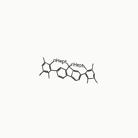 CCCCCCCC1(CCCCCCC)c2cc(-c3c(C)c(C)cc(C)c3C)ccc2-c2ccc(-c3c(C)c(C)cc(C)c3C)cc21